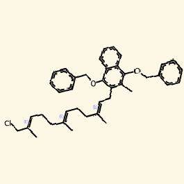 C/C(=C\CC/C(C)=C/CC/C(C)=C/Cc1c(C)c(OCc2ccccc2)c2ccccc2c1OCc1ccccc1)CCl